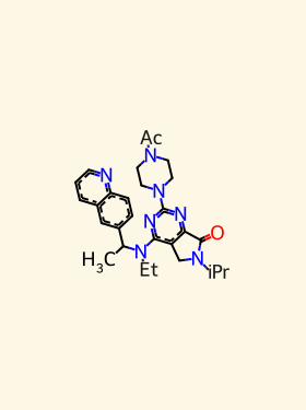 CCN(c1nc(N2CCN(C(C)=O)CC2)nc2c1CN(C(C)C)C2=O)C(C)c1ccc2ncccc2c1